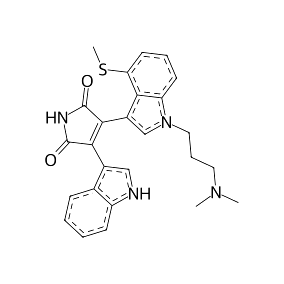 CSc1cccc2c1c(C1=C(c3c[nH]c4ccccc34)C(=O)NC1=O)cn2CCCN(C)C